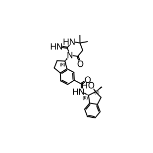 CC1(C)CC(=O)N([C@@H]2CCc3ccc(C(=O)N[C@@H]4c5ccccc5C[C@@]4(C)O)cc32)C(=N)N1